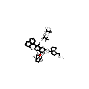 CC(C)(C)OC(=O)N1[C@@H]2CC[C@H]1CN(c1nc(OCC34CCCN3C(CN)CC4)nc3c(F)c(-c4cccc5cccc(Cl)c45)ncc13)C2.O=C(O)C(F)(F)F.O=C(O)C(F)(F)F